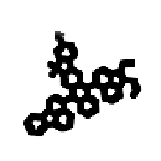 C=CC1=C(/C=C\C)c2cccc3c(-c4c5c(c(-c6ccc7c8c(cccc68)-c6ccccc6-7)c6ccccc46)C=C4C(C5)c5ccc(Br)cc5C4(C)C)ccc1c23